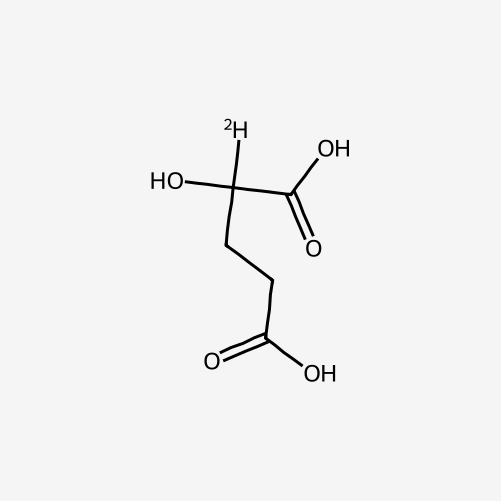 [2H]C(O)(CCC(=O)O)C(=O)O